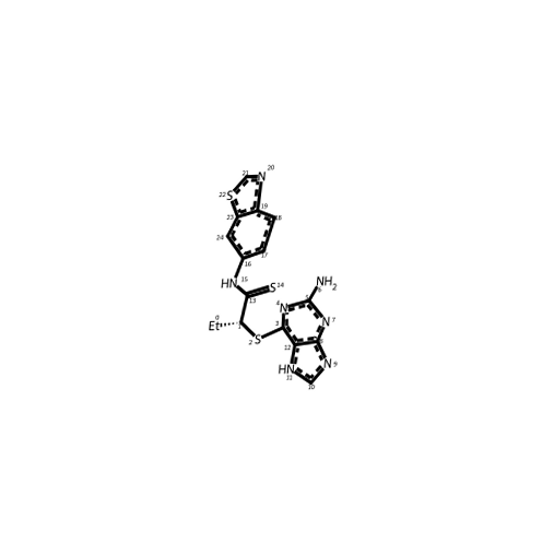 CC[C@@H](Sc1nc(N)nc2nc[nH]c12)C(=S)Nc1ccc2ncsc2c1